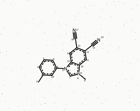 Cc1cccc(-n2c[n+](C)c3cc(C#N)c(C#N)cc32)c1